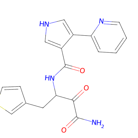 NC(=O)C(=O)C(Cc1ccsc1)NC(=O)c1c[nH]cc1-c1ccccn1